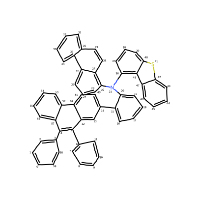 c1ccc(-c2c(-c3ccccc3)c3cc(-c4ccccc4N(c4cccc5c4ccc4ccccc45)c4cccc5sc6ccccc6c45)ccc3c3ccccc23)cc1